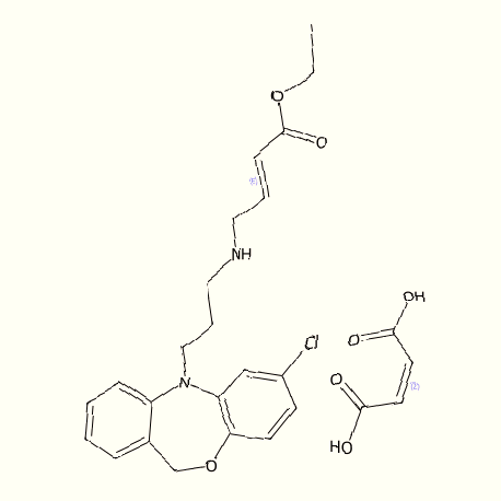 CCOC(=O)/C=C/CNCCCN1c2ccccc2COc2ccc(Cl)cc21.O=C(O)/C=C\C(=O)O